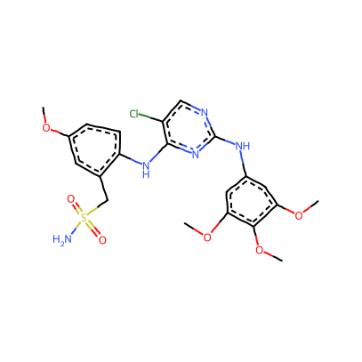 COc1ccc(Nc2nc(Nc3cc(OC)c(OC)c(OC)c3)ncc2Cl)c(CS(N)(=O)=O)c1